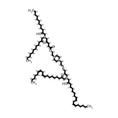 CCCCC/C=C\C/C=C\CCCCCCC(O)CN(CCCSSCCN1CCN(CCOC(=O)CCCCN(CC(O)CCCCCCCCCC)CC(O)CCCCCCCCCC)CC1)CC(O)CCCCCC/C=C\C/C=C\CCCCC